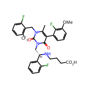 COc1cccc(-c2c(C)n(Cc3c(F)cccc3C(F)(F)F)c(=O)n(C[C@H](NCCCC(=O)O)c3ccccc3F)c2=O)c1F